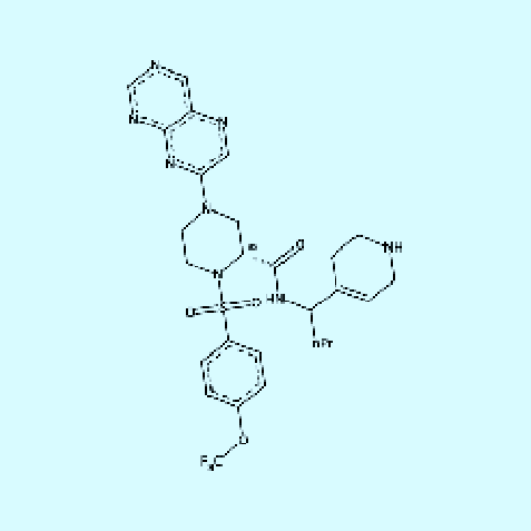 CCCC(NC(=O)[C@H]1CN(c2cnc3cncnc3n2)CCN1S(=O)(=O)c1ccc(OC(F)(F)F)cc1)C1=CCNCC1